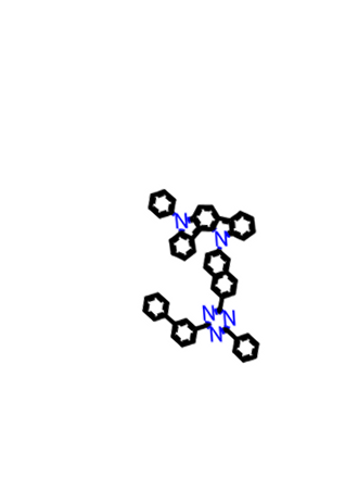 c1ccc(-c2cccc(-c3nc(-c4ccccc4)nc(-c4ccc5cc(-n6c7ccccc7c7ccc8c(c9ccccc9n8-c8ccccc8)c76)ccc5c4)n3)c2)cc1